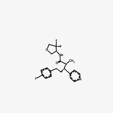 CN(C(=O)N[C@H]1COCC1(F)F)[C@H](CCc1ccc(F)cc1)c1ccncc1